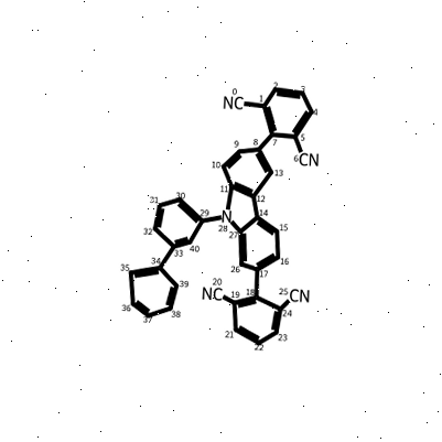 N#Cc1cccc(C#N)c1-c1ccc2c(c1)c1ccc(-c3c(C#N)cccc3C#N)cc1n2-c1cccc(-c2ccccc2)c1